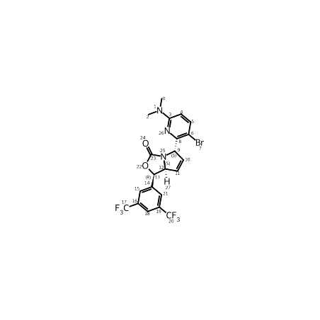 CN(C)c1ccc(Br)c([C@@H]2C=C[C@H]3[C@@H](c4cc(C(F)(F)F)cc(C(F)(F)F)c4)OC(=O)N23)n1